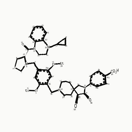 CCOc1cc(CN2CSC[C@@H]2C(=O)N2CCN(C3CC3)c3ccccc32)c(OCC)cc1CN1CCC2(CC1)CN(c1ccc(C(=O)O)cc1)C(=O)C2=O